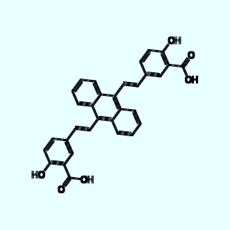 O=C(O)c1cc(C=Cc2c3ccccc3c(C=Cc3ccc(O)c(C(=O)O)c3)c3ccccc23)ccc1O